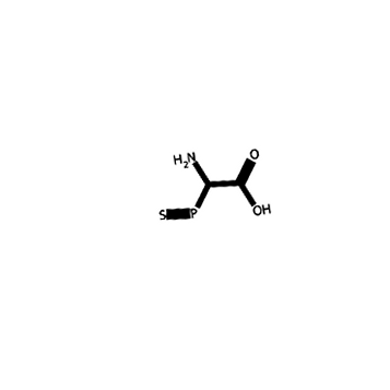 NC(P=S)C(=O)O